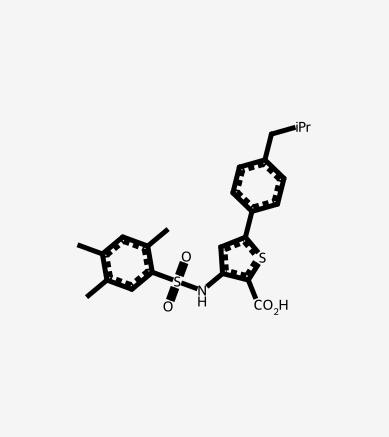 Cc1cc(C)c(S(=O)(=O)Nc2cc(-c3ccc(CC(C)C)cc3)sc2C(=O)O)cc1C